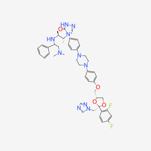 C[C@H](NC(CN(C)C)c1ccccc1)[C@@H](C)[N@@+]1(c2ccc(N3CCN(c4ccc(OC[C@@H]5CO[C@@](Cn6cncn6)(c6ccc(F)cc6F)O5)cc4)CC3)cc2)C=NNC1=O